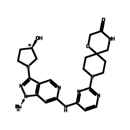 CC[C@@H](C)n1nc(N2CC[C@@H](O)C2)c2cnc(Nc3ccnc(N4CCC5(CC4)CNC(=O)CO5)n3)cc21